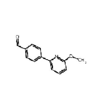 COc1cccc(-c2ccc(C=O)cc2)n1